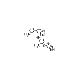 Cc1cc(Nc2ncnc3ccc(C4=CCCC(N)C4)cc23)ccc1Oc1cc2nncn2cn1